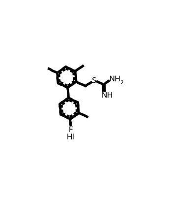 Cc1cc(C)c(CSC(=N)N)c(-c2ccc(F)c(C)c2)c1.I